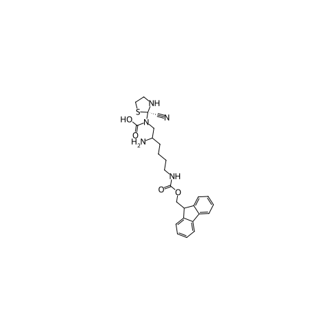 N#C[C@@]1(N(CC(N)CCCCNC(=O)OCC2c3ccccc3-c3ccccc32)C(=O)O)NCCS1